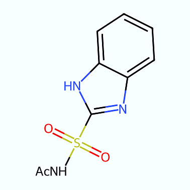 CC(=O)NS(=O)(=O)c1nc2ccccc2[nH]1